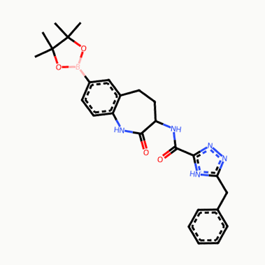 CC1(C)OB(c2ccc3c(c2)CCC(NC(=O)c2nnc(Cc4ccccc4)[nH]2)C(=O)N3)OC1(C)C